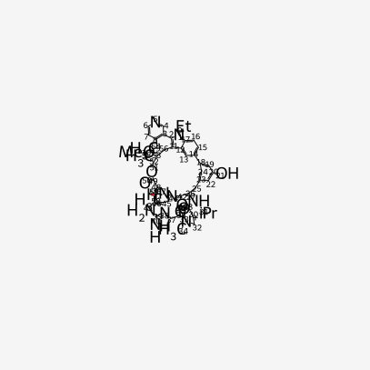 CCn1c(-c2cnccc2COC)c2c3cc(ccc31)-c1cc(O)cc(c1)C[C@H](NC(=O)[C@@]1(C(C)C)C[N+]1(C)C(=O)CNC(=N)N)C(=O)N1CCC[C@@H](C(=O)OCC(C)(C)C2)N1C